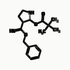 CC(C)(C)C(=O)OC1NCCC1C(=N)OCc1ccccc1